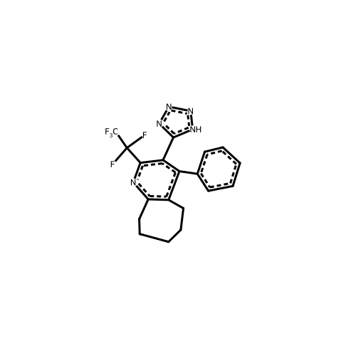 FC(F)(F)C(F)(F)c1nc2c(c(-c3ccccc3)c1-c1nnn[nH]1)CCCCC2